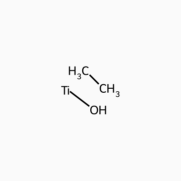 CC.[OH][Ti]